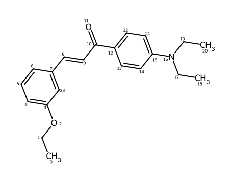 CCOc1cccc(C=CC(=O)c2ccc(N(CC)CC)cc2)c1